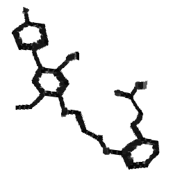 CCc1cc(-c2ccc(F)cc2)c(O)cc1OCCCOc1ccccc1CCC(=O)O